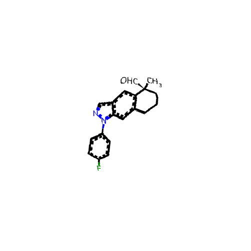 C[C@]1(C=O)CCCc2cc3c(cnn3-c3ccc(F)cc3)cc21